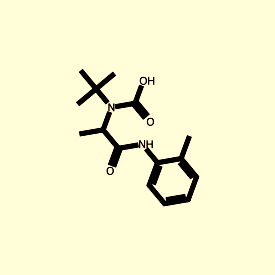 Cc1ccccc1NC(=O)C(C)N(C(=O)O)C(C)(C)C